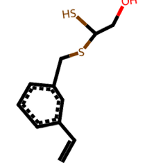 C=Cc1cccc(CSC(S)CO)c1